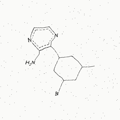 CC1CC(Br)CC(c2nccnc2N)C1